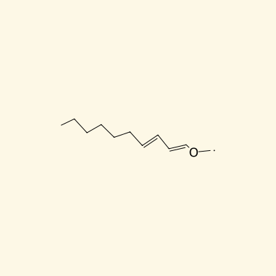 [CH2]OC=CC=CCCCCCC